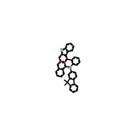 CC1(C)c2ccccc2-c2ccc(N(c3ccccc3-c3cccc4sc5ccccc5c34)c3cccc4ccccc34)cc21